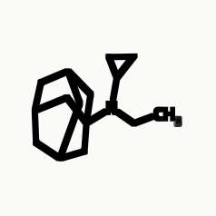 CCN(C1CC1)C12CC3CC(CC(C3)C1)C2